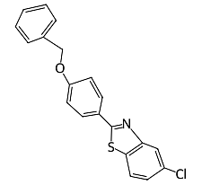 Clc1ccc2sc(-c3ccc(OCc4ccccc4)cc3)nc2c1